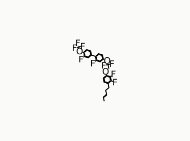 C/C=C/CCc1ccc(OCC(F)(F)Oc2ccc(-c3ccc(OC(F)(F)F)c(F)c3)c(F)c2)c(F)c1F